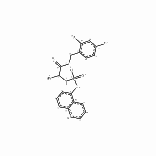 CC(C)C(NP(=O)(Cl)Oc1cccc2ncccc12)C(=O)OCc1ccc(F)cc1F